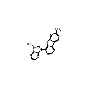 Cc1ccc2c(n1)oc1c(N3CN(C)c4nccnc43)cccc12